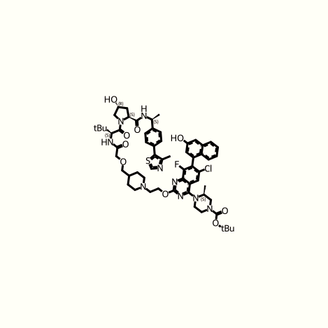 Cc1ncsc1-c1ccc([C@H](C)NC(=O)[C@@H]2C[C@@H](O)CN2C(=O)[C@@H](NC(=O)COCC2CCN(CCOc3nc(N4CCN(C(=O)OC(C)(C)C)C[C@@H]4C)c4cc(Cl)c(-c5cc(O)cc6ccccc56)c(F)c4n3)CC2)C(C)(C)C)cc1